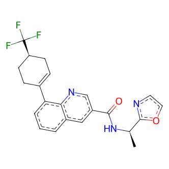 C[C@@H](NC(=O)c1cnc2c(C3=CC[C@H](C(F)(F)F)CC3)cccc2c1)c1ncco1